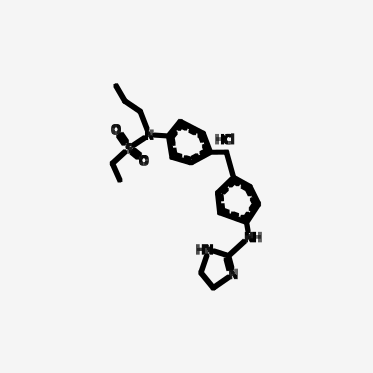 CCCN(c1ccc(Cc2ccc(NC3=NCCN3)cc2)cc1)S(=O)(=O)CC.Cl